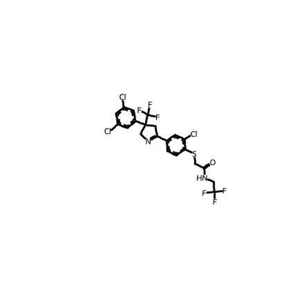 O=C(CSc1ccc(C2=NCC(c3cc(Cl)cc(Cl)c3)(C(F)(F)F)C2)cc1Cl)NCC(F)(F)F